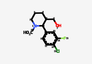 O=C(O)N1CCCC(CO)C1c1ccc(Cl)c(F)c1